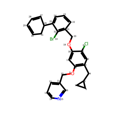 Clc1cc(CC2CC2)c(OCc2cccnc2)cc1OCc1cccc(C2C=CC=CC2)c1Br